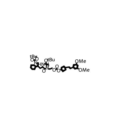 COc1cc(/C=C/c2ccc(OC(=O)OCCNC(=O)C(Cc3cn(C(=O)OC(C)(C)C)c4ccccc34)NC(=O)OC(C)(C)C)cc2)cc(OC)c1